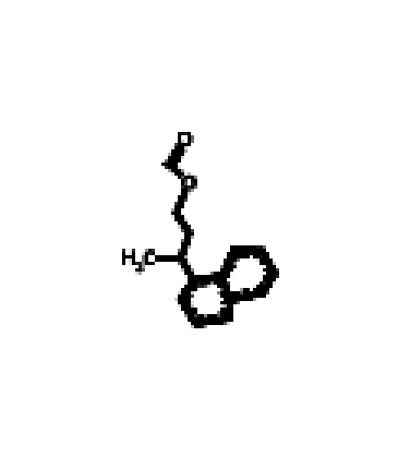 CC(CCO[C]=O)c1cccc2ccccc12